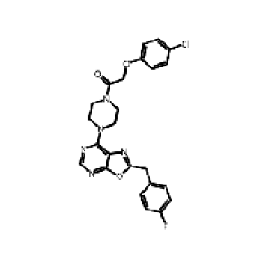 O=C(COc1ccc(Cl)cc1)N1CCN(c2ncnc3oc(Cc4ccc(F)cc4)nc23)CC1